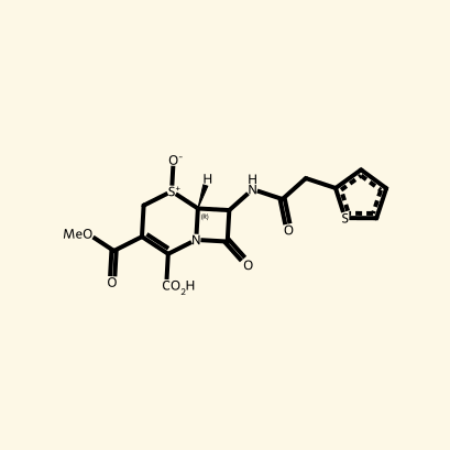 COC(=O)C1=C(C(=O)O)N2C(=O)C(NC(=O)Cc3cccs3)[C@H]2[S+]([O-])C1